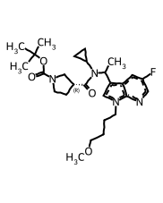 COCCCCn1cc(C(C)N(C(=O)[C@@H]2CCN(C(=O)OC(C)(C)C)C2)C2CC2)c2cc(F)cnc21